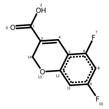 O=C(O)C1=Cc2c(F)cc(F)cc2OC1